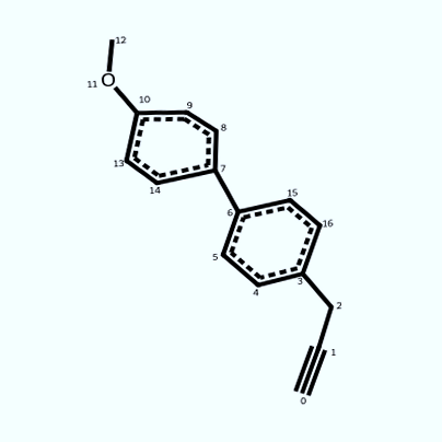 C#CCc1ccc(-c2ccc(OC)cc2)cc1